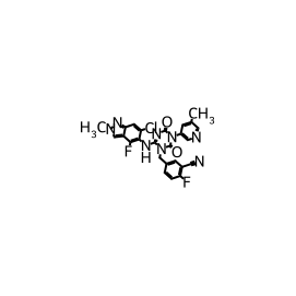 Cc1cncc(-n2c(=O)nc(Nc3c(Cl)cc4nn(C)cc4c3F)n(Cc3ccc(F)c(C#N)c3)c2=O)c1